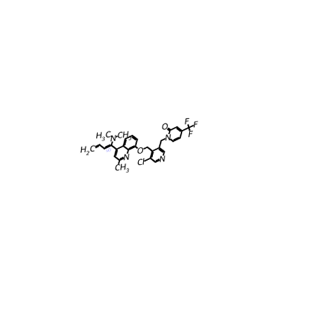 C=C/C=C(/c1cc(C)nc2c(OCc3c(Cl)cncc3Cn3ccc(C(F)(F)F)cc3=O)cccc12)N(C)C